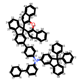 c1ccc(-c2cccc(N(c3ccc(-c4ccc5c(c4)C4(c6ccccc6-5)c5ccc6ccccc6c5Oc5c4ccc4ccccc54)cc3)c3ccc4c(c3)-c3ccccc3C4(c3ccccc3)c3ccccc3)c2)cc1